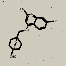 Nc1cc(NCC23CCC(C=O)(CC2)OC3)c2ccc(Br)cc2n1